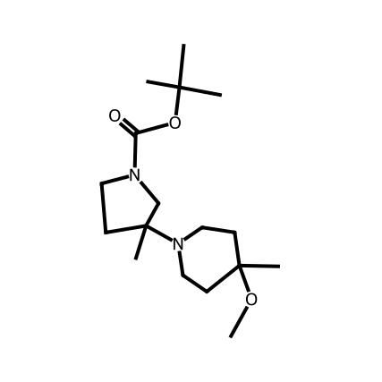 COC1(C)CCN(C2(C)CCN(C(=O)OC(C)(C)C)C2)CC1